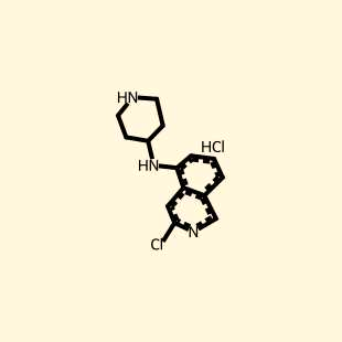 Cl.Clc1cc2c(NC3CCNCC3)cccc2cn1